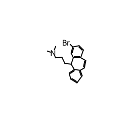 CN(C)CCCC1c2ccccc2C=Cc2ccc(Br)cc21